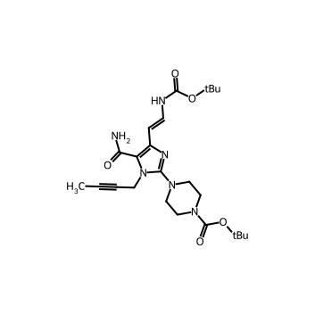 CC#CCn1c(N2CCN(C(=O)OC(C)(C)C)CC2)nc(C=CNC(=O)OC(C)(C)C)c1C(N)=O